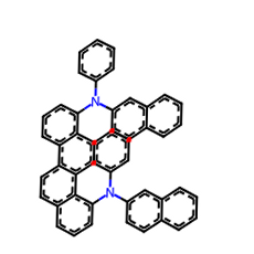 c1ccc(N(c2ccc3ccccc3c2)c2cccc3c2ccc2c3ccc3cccc(N(c4ccccc4)c4ccc5ccccc5c4)c32)cc1